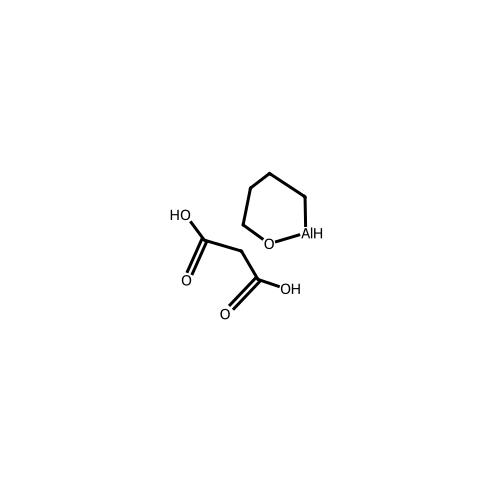 C1C[CH2][AlH][O]C1.O=C(O)CC(=O)O